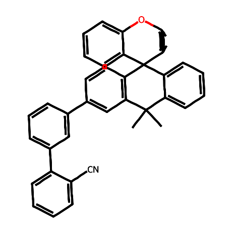 CC1(C)c2ccccc2C2(c3ccccc3Oc3ccccc32)c2ccc(-c3cccc(-c4ccccc4C#N)c3)cc21